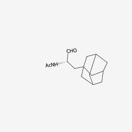 CC(=O)N[C@H](C=O)CC12CC3CC(CC(C3)C1)C2